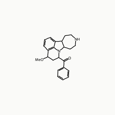 COC1CC(C(=O)c2ccccc2)N2c3c1cccc3C1CCNCCC12